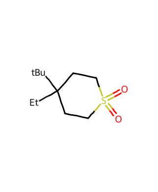 CCC1(C(C)(C)C)CCS(=O)(=O)CC1